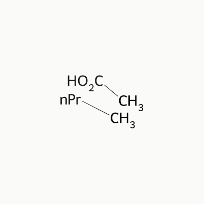 CC(=O)O.CCCC